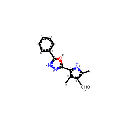 Cc1[nH]c(-c2nnc(-c3ccccc3)o2)c(C)c1C=O